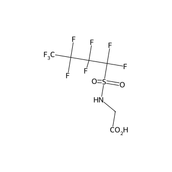 O=C(O)CNS(=O)(=O)C(F)(F)C(F)(F)C(F)(F)C(F)(F)F